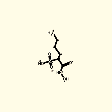 CCCCC(C(=O)NO)S(=O)(=O)O